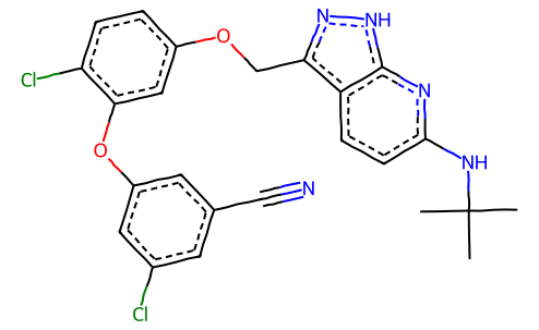 CC(C)(C)Nc1ccc2c(COc3ccc(Cl)c(Oc4cc(Cl)cc(C#N)c4)c3)n[nH]c2n1